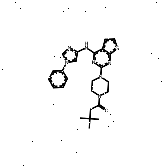 CC(C)(C)CC(=O)N1CCN(c2nc(Nc3cn(-c4ccccc4)cn3)c3ccsc3n2)CC1